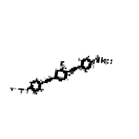 CCCCCCCc1ccc(C#Cc2ccc(C#Cc3ccc(CCCCCCC)cc3)c(F)c2)cc1